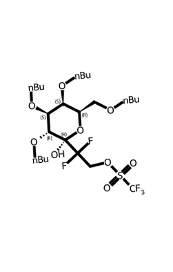 CCCCOC[C@H]1O[C@@](O)(C(F)(F)COS(=O)(=O)C(F)(F)F)[C@H](OCCCC)[C@@H](OCCCC)[C@H]1OCCCC